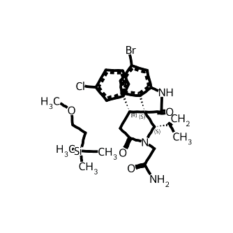 C=C(C)[C@@H]1N(CC(N)=O)C(=O)C[C@H](c2cccc(Cl)c2)[C@@]12C(=O)Nc1cc(Br)ccc12.COCC[Si](C)(C)C